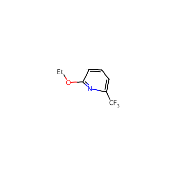 CCOc1[c]ccc(C(F)(F)F)n1